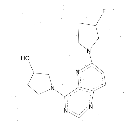 OC1CCN(c2ncnc3ccc(N4CCC(F)C4)nc23)C1